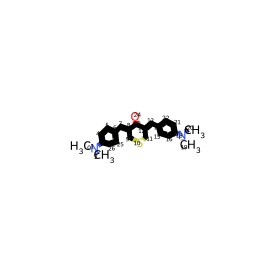 CN(C)c1ccc(C=C2CSCC(=Cc3ccc(N(C)C)cc3)C2=O)cc1